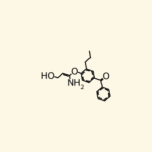 CCCc1cc(C(=O)c2ccccc2)ccc1O/C(N)=C/CO